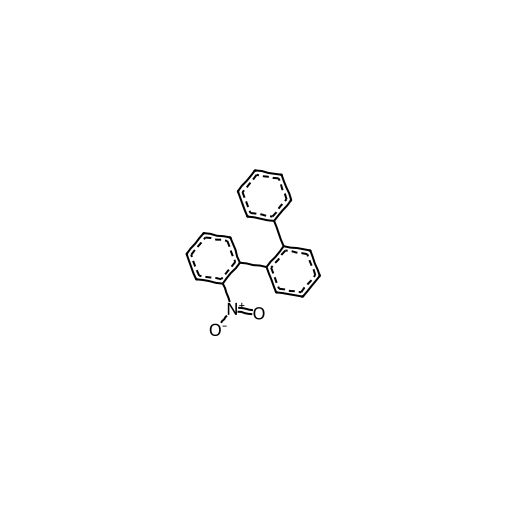 O=[N+]([O-])c1ccccc1-c1ccccc1-c1ccccc1